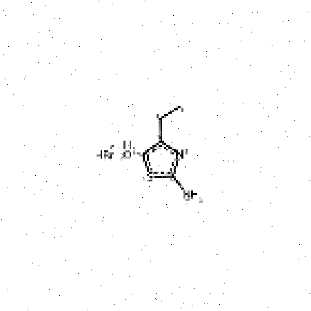 Br.CCc1csc(N)n1.O